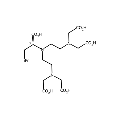 CC(C)C[C@@H](C(=O)O)N(CCN(CC(=O)O)CC(=O)O)CCN(CC(=O)O)CC(=O)O